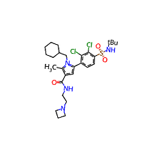 Cc1c(C(=O)NCCN2CCC2)cc(-c2ccc(S(=O)(=O)NC(C)(C)C)c(Cl)c2Cl)n1CC1CCCCC1